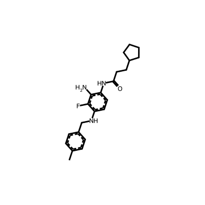 Cc1ccc(CNc2ccc(NC(=O)CCC3CCCC3)c(N)c2F)cc1